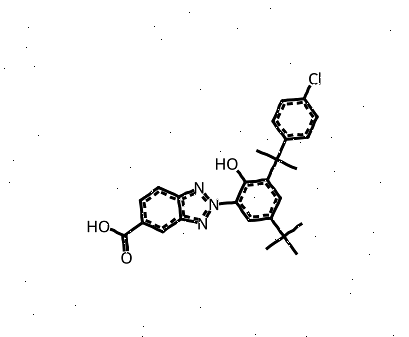 CC(C)(C)c1cc(-n2nc3ccc(C(=O)O)cc3n2)c(O)c(C(C)(C)c2ccc(Cl)cc2)c1